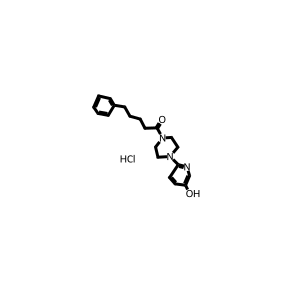 Cl.O=C(CCCCc1ccccc1)N1CCN(c2ccc(O)cn2)CC1